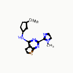 COC1CCC(Nc2nc(-c3nccn3C)nc3sccc23)C1